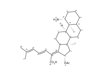 CC(=O)O[C@H]1C[C@@]2(C)C(CC[C@@H]3C2CCC2CCC[C@@H](N)[C@@]23C)/C1=C(\C=C\C=C(C)C)C(=O)O